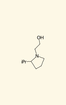 CC(C)C1CCCN1CCO